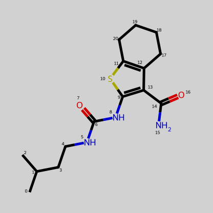 CC(C)CCNC(=O)Nc1sc2c(c1C(N)=O)CCCC2